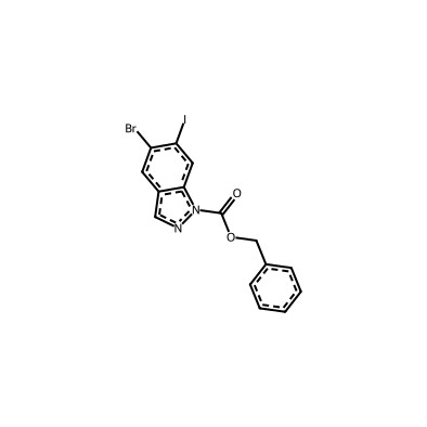 O=C(OCc1ccccc1)n1ncc2cc(Br)c(I)cc21